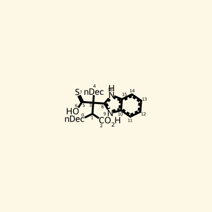 CCCCCCCCCCC(C(=O)O)C(CCCCCCCCCC)(C(O)=S)c1nc2ccccc2[nH]1